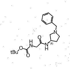 CC(C)(C)OC(=O)NCC(=O)N[C@@H]1CCN(Cc2ccccc2)C1